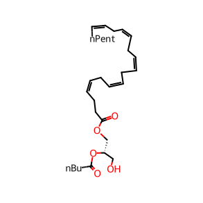 CCCCC/C=C\C/C=C\C/C=C\C/C=C\C/C=C\CCC(=O)OC[C@H](CO)OC(=O)CCCC